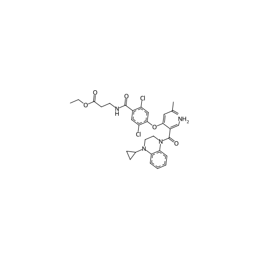 C=C(C)/C=C(Oc1cc(Cl)c(C(=O)NCCC(=O)OCC)cc1Cl)\C(=C/N)C(=O)N1CCN(C2CC2)c2ccccc21